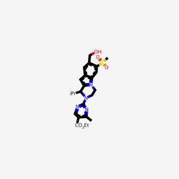 CCOC(=O)c1cnc(N2CCn3c(cc4cc(CO)c(S(C)(=O)=O)cc43)C2C(C)C)nc1C